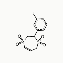 O=S1(=O)C=CCS(=O)(=O)C(c2cccc(I)c2)C1